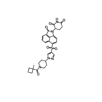 CC1(C(=O)N2CCC(n3cc(S(=O)(=O)c4ccc5c6c(cccc46)C(=O)N5C4CCC(=O)NC4=O)cn3)CC2)CCC1